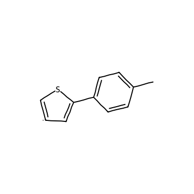 Cc1ccc(-c2c[c]cs2)cc1